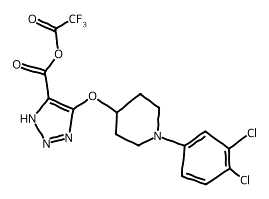 O=C(OC(=O)C(F)(F)F)c1[nH]nnc1OC1CCN(c2ccc(Cl)c(Cl)c2)CC1